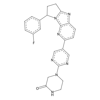 O=C1CN(c2ncc(-c3ccc4nc5n(c4n3)C(c3cccc(F)c3)CC5)cn2)CCN1